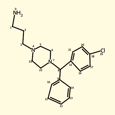 NCCCN1CCN(C(c2ccccc2)c2ccc(Cl)cc2)CC1